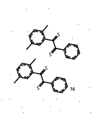 Cc1ccc(C)c(C(=S)C(=S)c2ccccc2)c1.Cc1ccc(C)c(C(=S)C(=S)c2ccccc2)c1.[Ni]